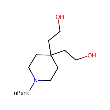 CCCCCN1CCC(CCO)(CCO)CC1